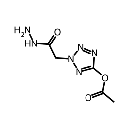 CC(=O)Oc1nnn(CC(=O)NN)n1